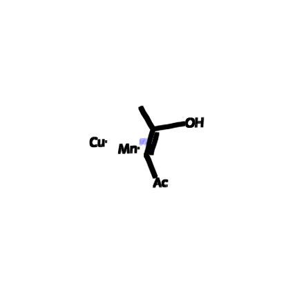 CC(=O)/C=C(/C)O.[Cu].[Mn]